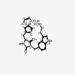 CN1C(=O)N(Cc2ccc3[nH]cc(CCN)c3c2)C(=O)C1Cc1cccs1.O=C(O)/C=C\C(=O)O